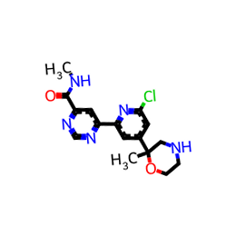 CNC(=O)c1cc(-c2cc(C3(C)CNCCO3)cc(Cl)n2)ncn1